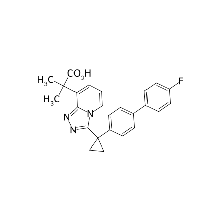 CC(C)(C(=O)O)c1cccn2c(C3(c4ccc(-c5ccc(F)cc5)cc4)CC3)nnc12